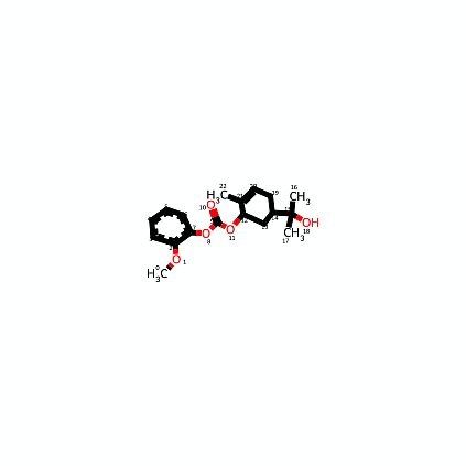 COc1ccccc1OC(=O)OC1CC(C(C)(C)O)CC=C1C